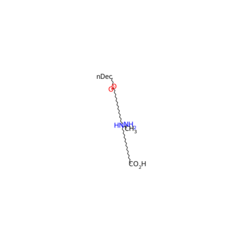 CCCCCCCCCCCCCCOC(=O)CCCCCCCCCCCCCCCCCNC(CCCCCCCCCCCCCCCCCC(=O)O)C(C)N